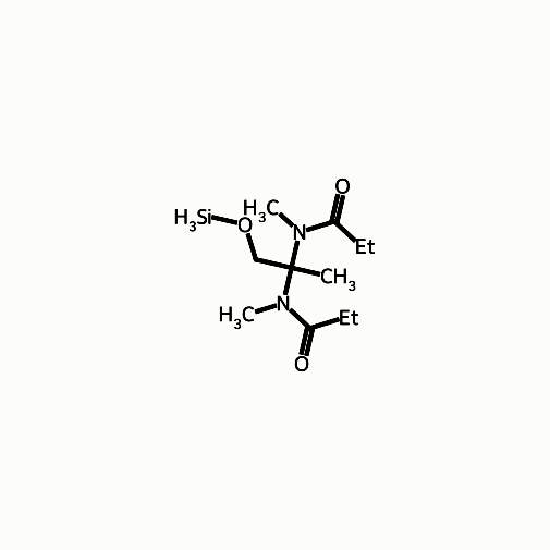 CCC(=O)N(C)C(C)(CO[SiH3])N(C)C(=O)CC